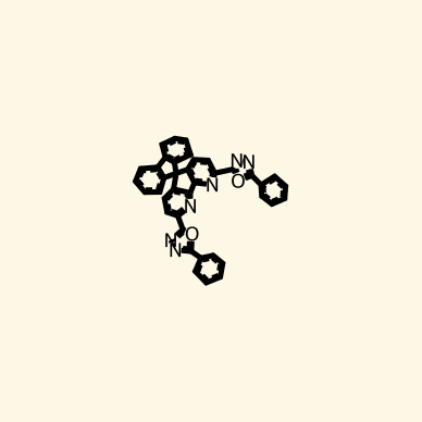 c1ccc(-c2nnc(-c3ccc4c(n3)-c3nc(-c5nnc(-c6ccccc6)o5)ccc3C43c4ccccc4-c4ccccc43)o2)cc1